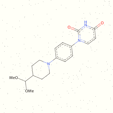 COC(OC)C1CCN(c2ccc(-n3ccc(=O)[nH]c3=O)cc2)CC1